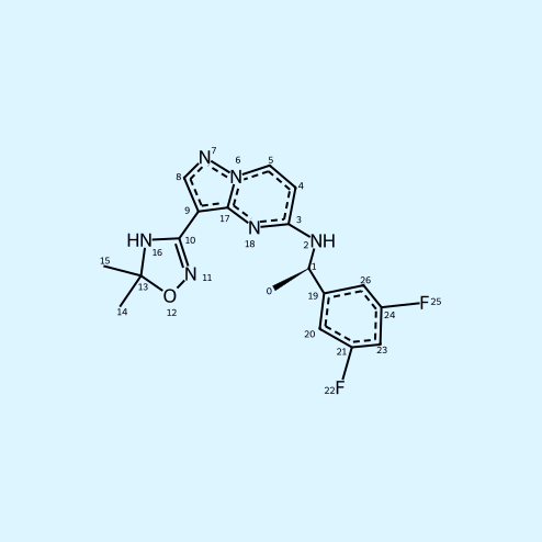 C[C@@H](Nc1ccn2ncc(C3=NOC(C)(C)N3)c2n1)c1cc(F)cc(F)c1